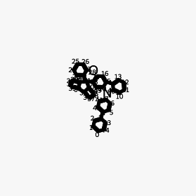 c1ccc(-c2ccc(-n3c4ccccc4c4cc5c(cc43)C3(c4ccccc4O5)c4ccccc4-c4ccccc43)cc2)cc1